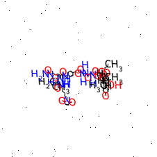 C=C(C)[C@H](NC(=O)CCCCCN1C(=O)C=CC1=O)C(=O)N[C@@H](CCCNC(N)=O)C(=O)Nc1ccc(COC(=O)NNC(=O)CNC(=O)OCC(=O)[C@@]23OC(CCC)O[C@@H]2C[C@H]2[C@@H]4CCC5=CC(=O)C=C[C@]5(C)[C@H]4[C@@H](O)C[C@@]23C)cc1